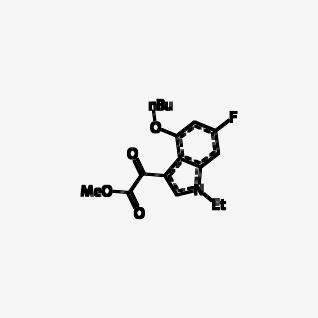 CCCCOc1cc(F)cc2c1c(C(=O)C(=O)OC)cn2CC